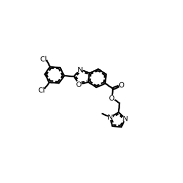 Cn1ccnc1COC(=O)c1ccc2nc(-c3cc(Cl)cc(Cl)c3)oc2c1